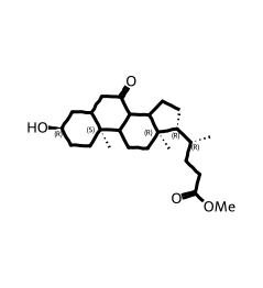 COC(=O)CC[C@@H](C)[C@H]1CCC2C3C(=O)CC4C[C@H](O)CC[C@]4(C)C3CC[C@@]21C